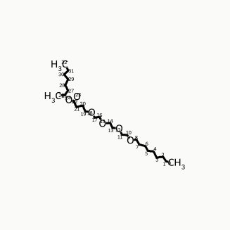 CCCCCCCCCOCCOCCOCCOCCCC(=O)OC(C)CCCCCC